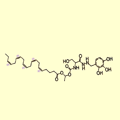 CC/C=C\C/C=C\C/C=C\C/C=C\C/C=C\CCCC(=O)OC(C)OC(=O)NC(CO)C(=O)NNCc1ccc(O)c(O)c1O